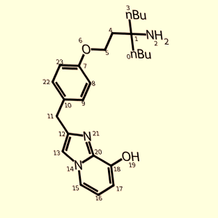 CCCCC(N)(CCCC)CCOc1ccc(Cc2cn3cccc(O)c3n2)cc1